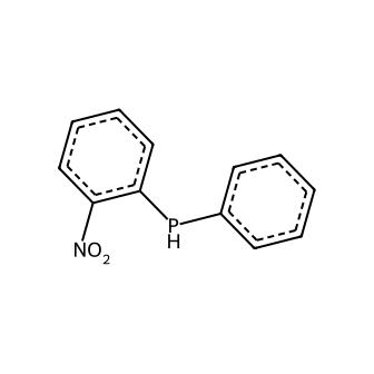 O=[N+]([O-])c1ccccc1Pc1ccccc1